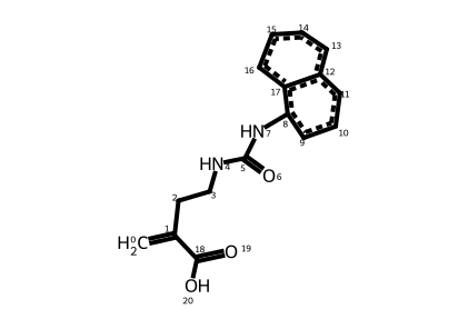 C=C(CCNC(=O)Nc1cccc2ccccc12)C(=O)O